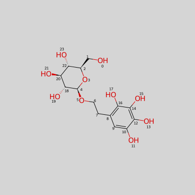 OC[C@H]1O[C@@H](OCCc2cc(O)c(O)c(O)c2O)[C@H](O)[C@@H](O)[C@@H]1O